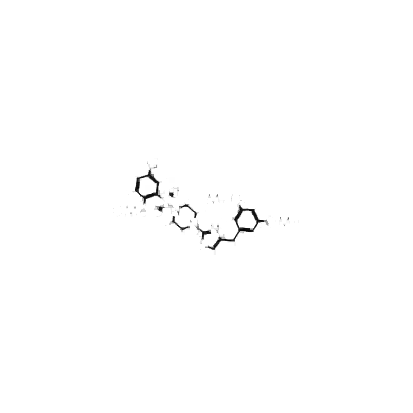 COc1cc(Cc2csc(N3CCN(S(=O)(=O)c4cc(Cl)ccc4OC)CC3)n2)cc(OC)c1